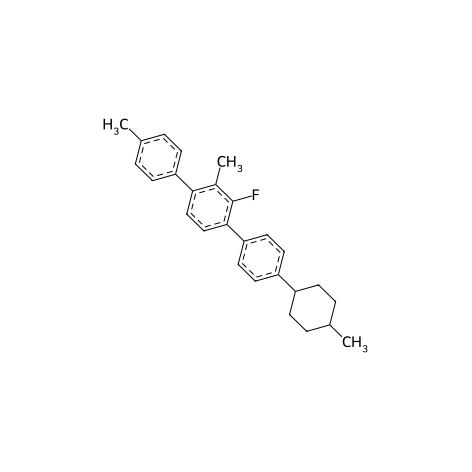 Cc1ccc(-c2ccc(-c3ccc(C4CCC(C)CC4)cc3)c(F)c2C)cc1